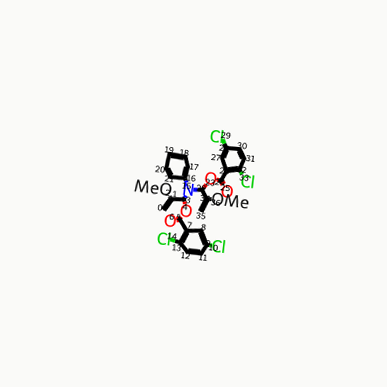 C=C(OC)C(OC(=O)c1cc(Cl)ccc1Cl)N(c1ccccc1)C(OC(=O)c1cc(Cl)ccc1Cl)C(=C)OC